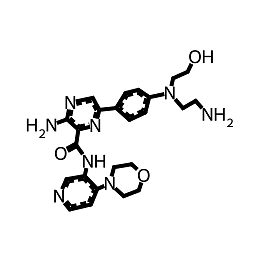 NCCN(CCO)c1ccc(-c2cnc(N)c(C(=O)Nc3cnccc3N3CCOCC3)n2)cc1